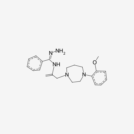 C=C(CN1CCCN(c2ccccc2OC)CC1)N/C(=N\N)c1ccccc1